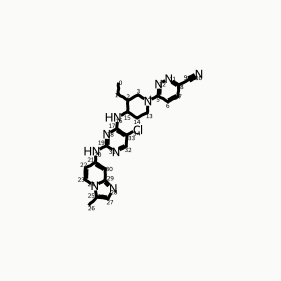 CCC1CN(c2ccc(C#N)nn2)CCC1Nc1nc(Nc2ccn3c(C)cnc3c2)ncc1Cl